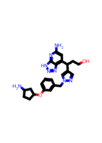 Nc1cc(C(CCO)c2cnn(Cc3cccc(OC4CCC(N)C4)c3)c2)c2nn[nH]c2n1